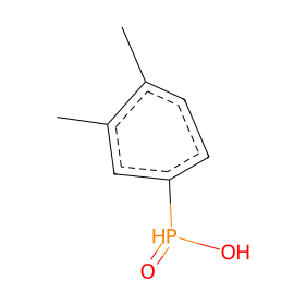 Cc1ccc([PH](=O)O)cc1C